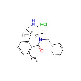 Cl.O=C1c2c(cccc2C(F)(F)F)[C@H]2CNC[C@@H]2N1Cc1ccccc1